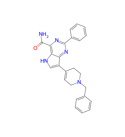 NC(=O)c1nc(-c2ccccc2)nc2c(C3=CCN(Cc4ccccc4)CC3)c[nH]c12